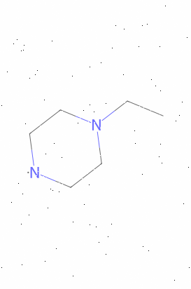 CCN1CC[N]CC1